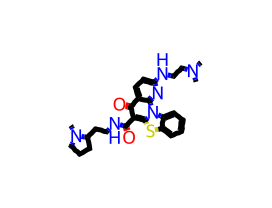 CN(C)CCNc1ccc2c(=O)c(C(=O)NCCC3CCCN3C)c3sc4ccccc4n3c2n1